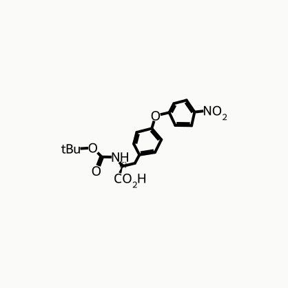 CC(C)(C)OC(=O)N[C@@H](Cc1ccc(Oc2ccc([N+](=O)[O-])cc2)cc1)C(=O)O